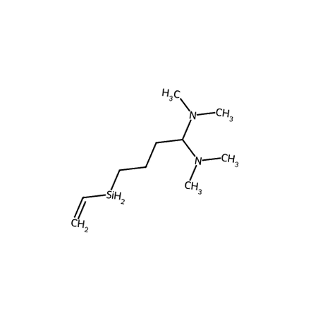 C=C[SiH2]CCCC(N(C)C)N(C)C